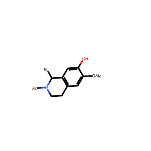 CCC1c2cc(O)c(OC)cc2CCN1C(C)=O